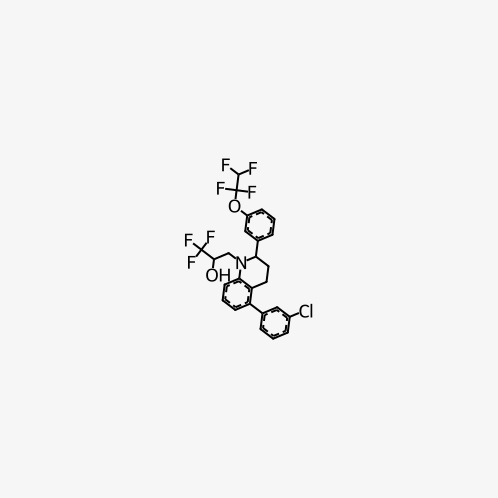 OC(CN1c2cccc(-c3cccc(Cl)c3)c2CCC1c1cccc(OC(F)(F)C(F)F)c1)C(F)(F)F